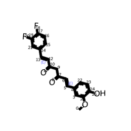 COc1cc(/C=C/C(=O)CC(=O)/C=C/c2ccc(F)c(F)c2)ccc1O